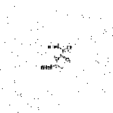 CCCCCCC(C)OC(=O)C(CC)CCCCCC